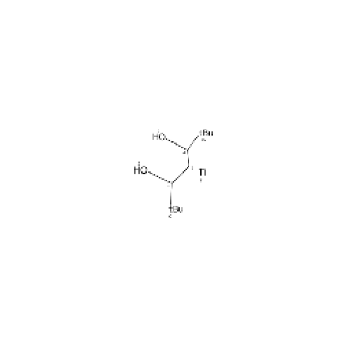 CC(C)(C)C(O)CC(O)C(C)(C)C.[Ti]